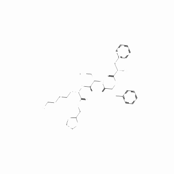 CC(C)C[C@@H](NC(=O)[C@@H](Cc1ccccc1)NC(=O)[C@H](N)Cc1ccccc1)C(=O)N[C@H](CCCCCN)C(=O)NCC1OCCO1